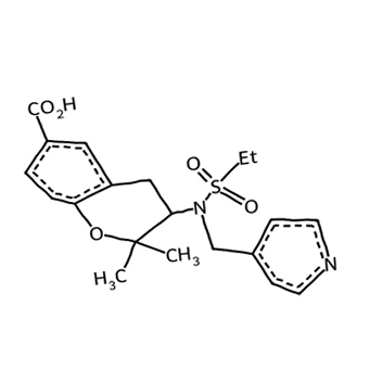 CCS(=O)(=O)N(Cc1ccncc1)C1Cc2cc(C(=O)O)ccc2OC1(C)C